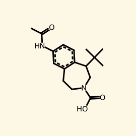 CC(=O)Nc1ccc2c(c1)CCN(C(=O)O)CC2C(C)(C)C